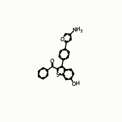 Nc1coc(-c2ccc(-c3c(C(=O)c4ccccc4)sc4cc(O)ccc34)cc2)c1